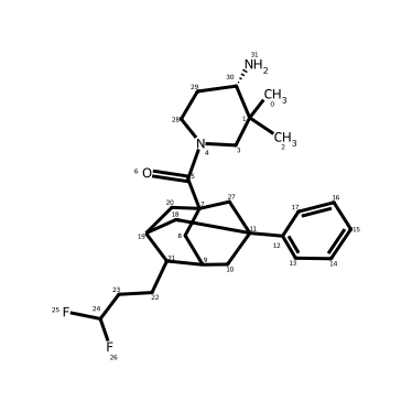 CC1(C)CN(C(=O)C23CC4CC(c5ccccc5)(CC(C2)C4CCC(F)F)C3)CC[C@@H]1N